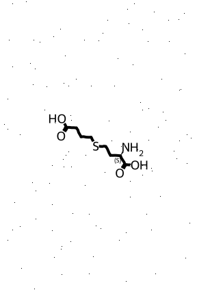 N[C@@H](CCSCCCC(=O)O)C(=O)O